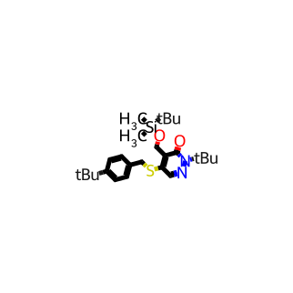 CC(C)(C)c1ccc(CSc2cnn(C(C)(C)C)c(=O)c2CO[Si](C)(C)C(C)(C)C)cc1